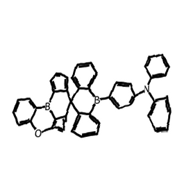 c1ccc(N(c2ccccc2)c2ccc(B3c4ccccc4C4(c5ccccc53)c3ccccc3B3c5ccccc5Oc5cccc4c53)cc2)cc1